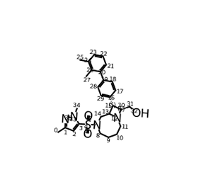 Cc1cc(S(=O)(=O)N2CCCCN3C(C2)[C@H](c2ccc(-c4cccc(C)c4C)cc2)[C@H]3CO)n(C)n1